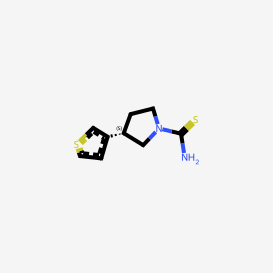 NC(=S)N1CC[C@@H](c2ccsc2)C1